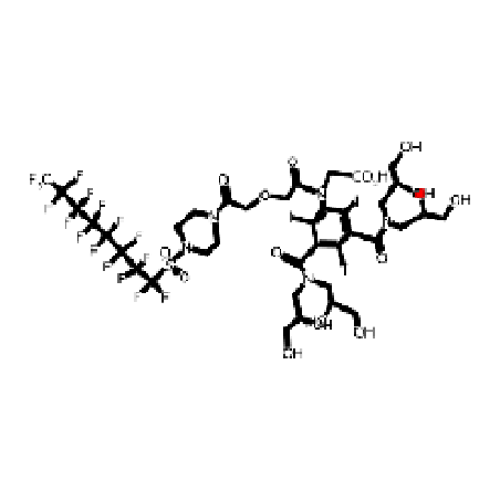 O=C(O)CN(C(=O)COCC(=O)N1CCN(S(=O)(=O)C(F)(F)C(F)(F)C(F)(F)C(F)(F)C(F)(F)C(F)(F)C(F)(F)C(F)(F)F)CC1)c1c(I)c(C(=O)N(CC(O)CO)CC(O)CO)c(I)c(C(=O)N(CC(O)CO)CC(O)CO)c1I